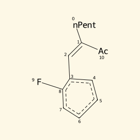 CCCCCC(=Cc1ccccc1F)C(C)=O